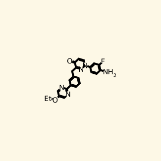 CCOc1cnc(-c2cccc(Cc3nn(-c4ccc(N)c(F)c4)ccc3=O)c2)nc1